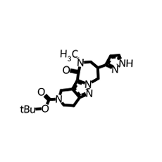 CN1CC(c2cc[nH]n2)Cn2nc3c(c2C1=O)CN(C(=O)OC(C)(C)C)CC3